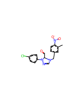 Cc1cc(CN2C=NN(c3ccc(Cl)cc3)C2C=O)ccc1[N+](=O)[O-]